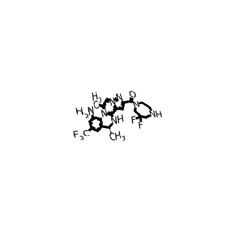 Cc1cn2nc(C(=O)N3CCNCC(F)(F)C3)cc2c(N[C@H](C)c2cc(N)cc(C(F)(F)F)c2)n1